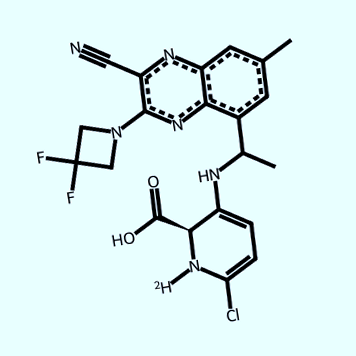 [2H]N1C(Cl)=CC=C(NC(C)c2cc(C)cc3nc(C#N)c(N4CC(F)(F)C4)nc23)[C@@H]1C(=O)O